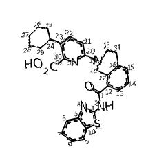 O=C(Nc1nc2ccccc2s1)c1cccc2c1CN(c1ccc(C3CCCCC3)c(C(=O)O)n1)CC2